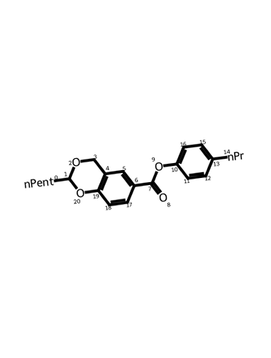 CCCCCC1OCc2cc(C(=O)Oc3ccc(CCC)cc3)ccc2O1